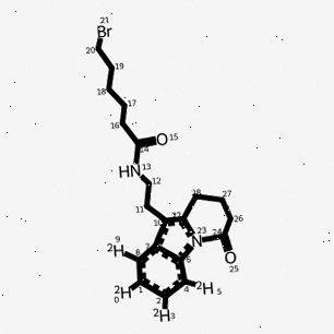 [2H]c1c([2H])c([2H])c2c(c1[2H])c(CCNC(=O)CCCCCBr)c1n2C(=O)CCC1